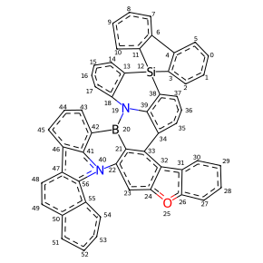 c1ccc2c(c1)-c1ccccc1[Si]21c2ccccc2N2B3c4c(cc5oc6ccccc6c5c4-c4cccc1c42)-n1c2c3cccc2c2ccc3ccccc3c21